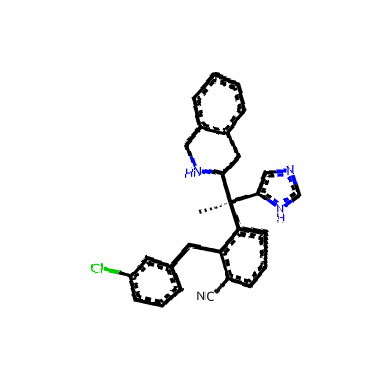 C[C@](c1cnc[nH]1)(c1cccc(C#N)c1Cc1cccc(Cl)c1)C1Cc2ccccc2CN1